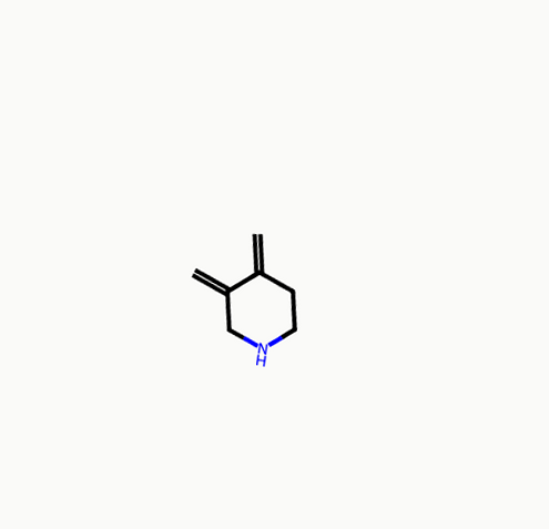 C=C1CCNCC1=C